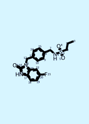 CCCS(=O)(=O)NCc1ccc(Cn2c(=O)[nH]c3ccc(F)cc32)cc1